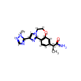 CC(C)n1ncnc1-c1cn2c(n1)-c1ccc([C@H](C)C(N)=O)cc1OCC2